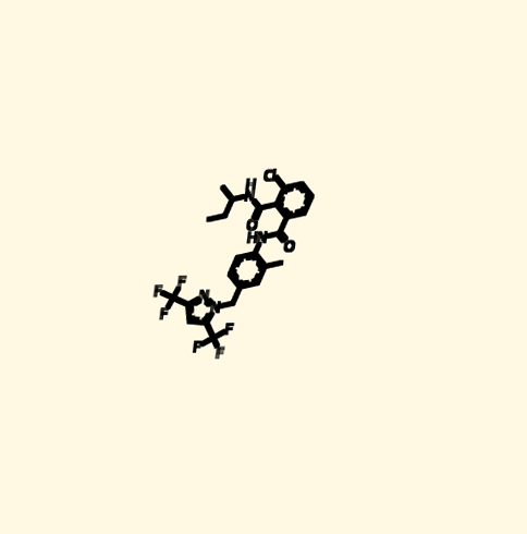 CCC(C)NC(=O)c1c(Cl)cccc1C(=O)Nc1ccc(Cn2nc(C(F)(F)F)cc2C(F)(F)F)cc1C